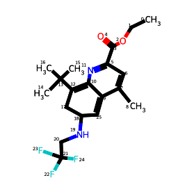 CCOC(=O)c1cc(C)c2c(n1)=C(C(C)(C)C)CC(NCC(F)(F)F)C=2